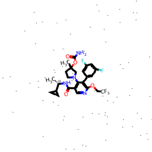 C[C@H](NC(=O)c1cnc(OCC(F)(F)F)c(-c2cc(F)cc(F)c2)c1N1CCC(C)(OC(N)=O)C1)C1CC1